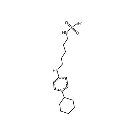 CC(C)S(=O)(=O)NCCCCCNc1ccc(C2CCCCC2)cc1